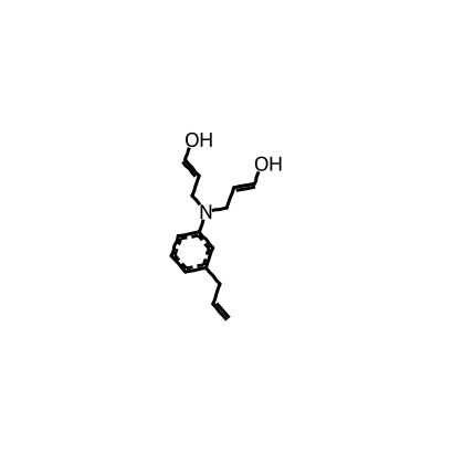 C=CCc1cccc(N(CC=CO)CC=CO)c1